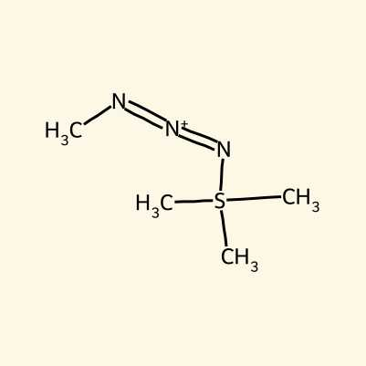 CN=[N+]=NS(C)(C)C